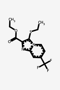 CCOC(=O)c1nc2cc(C(F)(F)F)ccn2c1SCC